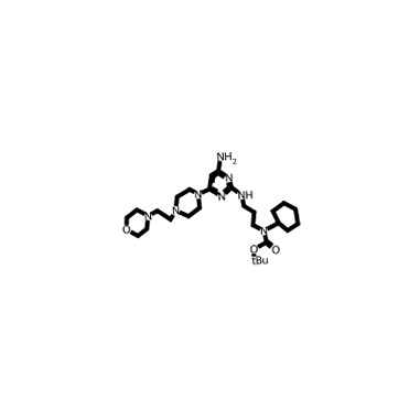 CC(C)(C)OC(=O)N(CCCNc1nc(N)cc(N2CCN(CCN3CCOCC3)CC2)n1)C1CCCCC1